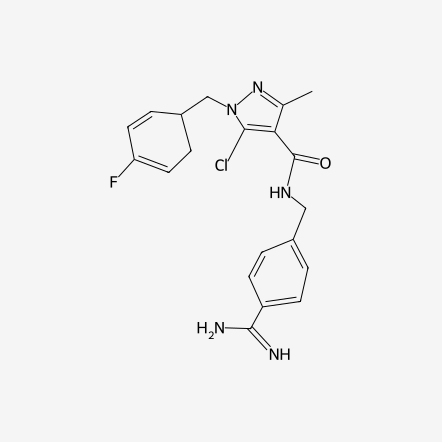 Cc1nn(CC2C=CC(F)=CC2)c(Cl)c1C(=O)NCc1ccc(C(=N)N)cc1